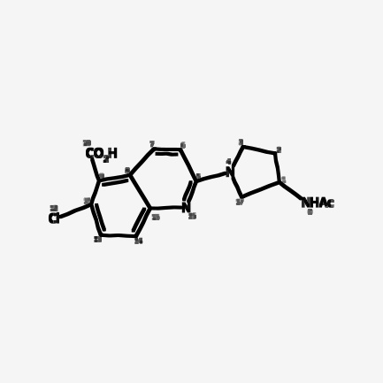 CC(=O)NC1CCN(c2ccc3c(C(=O)O)c(Cl)ccc3n2)C1